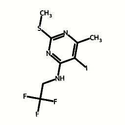 CSc1nc(C)c(I)c(NCC(F)(F)F)n1